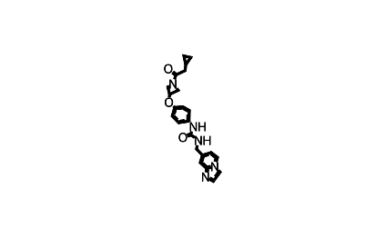 O=C(NCc1ccn2ccnc2c1)Nc1ccc(OC2CN(C(=O)CC3CC3)C2)cc1